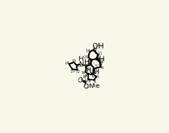 COC(=O)[C@H]1CC[C@H]2[C@@H]3CC[C@H]4C[C@@H](O)CC[C@]4(C)[C@H]3[C@H](NC3CCCC3)C[C@]12C